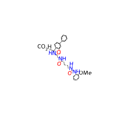 COc1ccccc1NC(=O)NCCCCC(=O)NCC(=O)NC(CC(=O)O)c1ccc(-c2ccccc2)cc1